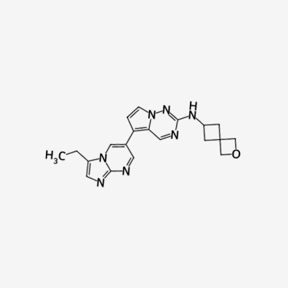 CCc1cnc2ncc(-c3ccn4nc(NC5CC6(COC6)C5)ncc34)cn12